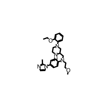 CCOc1ccccc1N1CCNC(CN(CCOC)c2ccc(-n3ccnc3C)cc2)C1